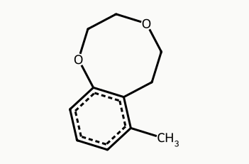 Cc1cccc2c1CCOCCO2